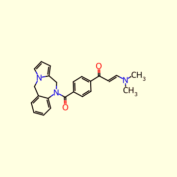 CN(C)/C=C/C(=O)c1ccc(C(=O)N2Cc3cccn3Cc3ccccc32)cc1